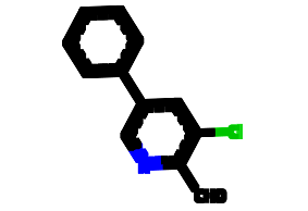 O=Cc1ncc(-c2ccccc2)cc1Cl